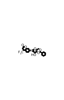 O=c1cc(C(F)(F)F)c2ccc(N3C4C(O)C5OC(c6ccccc6)OCC5O[C@@H]43)cc2o1